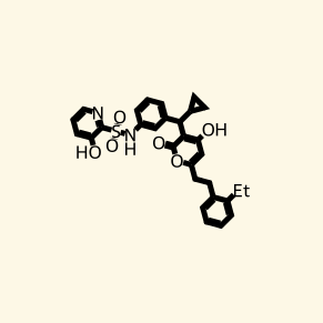 CCc1ccccc1CCc1cc(O)c(C(c2cccc(NS(=O)(=O)c3ncccc3O)c2)C2CC2)c(=O)o1